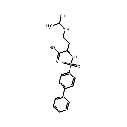 CC(C)NCCC(NS(=O)(=O)c1ccc(-c2ccccc2)cc1)C(=O)O